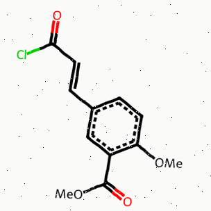 COC(=O)c1cc(/C=C/C(=O)Cl)ccc1OC